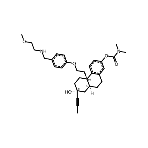 CC#C[C@@]1(O)CC[C@]2(CCOc3ccc(CNCCOC)cc3)c3ccc(OC(=O)N(C)C)cc3CC[C@H]2C1